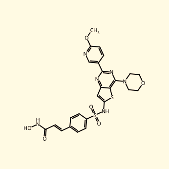 COc1ccc(-c2nc(N3CCOCC3)c3sc(NS(=O)(=O)c4ccc(C=CC(=O)NO)cc4)cc3n2)cn1